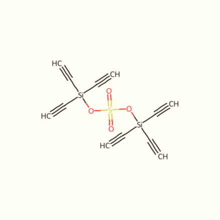 C#C[Si](C#C)(C#C)OS(=O)(=O)O[Si](C#C)(C#C)C#C